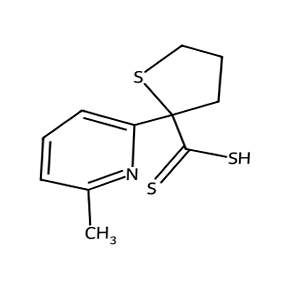 Cc1cccc(C2(C(=S)S)CCCS2)n1